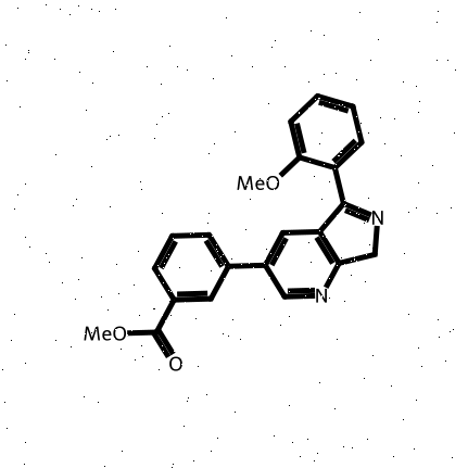 COC(=O)c1cccc(-c2cnc3c(c2)C(c2ccccc2OC)=NC3)c1